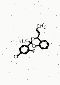 [CH2]/C=C/C1OC(C)(c2ccc(Cl)cc2F)Oc2ccccc21